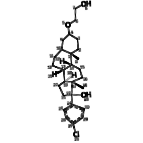 C[C@]12CCC(OCCO)CC1CC[C@@H]1[C@H]2CC[C@@]2(C)[C@H]1CCC2(O)c1ccc(Cl)cc1